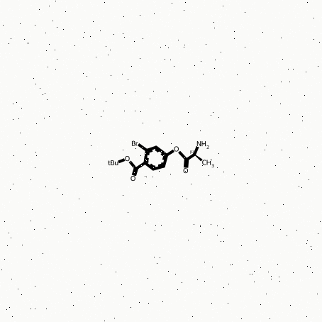 C[C@H](N)C(=O)Oc1ccc(C(=O)OC(C)(C)C)c(Br)c1